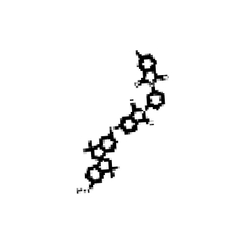 COc1ccc2c(c1)C(C)(C)CC21CC(C)(C)c2cc(Oc3ccc4c(c3)C(=O)N(c3cccc(N5C(=O)c6ccc(C)cc6C5=O)c3)C4=O)ccc21